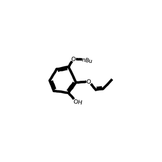 C/C=C\Oc1c(O)cccc1OCCCC